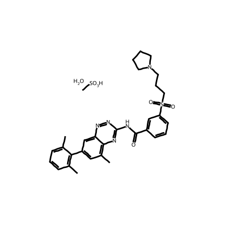 CS(=O)(=O)O.Cc1cccc(C)c1-c1cc(C)c2nc(NC(=O)c3cccc(S(=O)(=O)CCCN4CCCC4)c3)nnc2c1.O